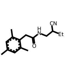 CCC(C#N)CNC(=O)Cc1c(C)cc(C)cc1C